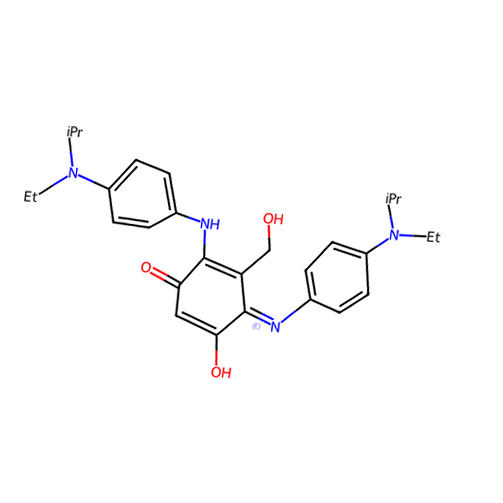 CCN(c1ccc(/N=C2/C(O)=CC(=O)C(Nc3ccc(N(CC)C(C)C)cc3)=C2CO)cc1)C(C)C